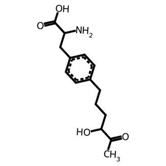 CC(=O)C(O)CCCc1ccc(CC(N)C(=O)O)cc1